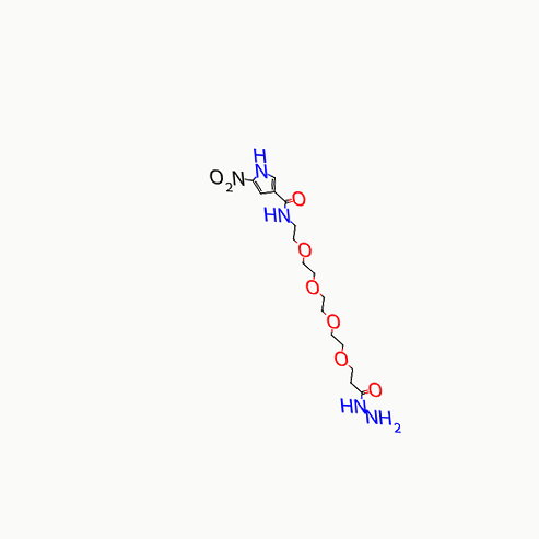 NNC(=O)CCOCCOCCOCCOCCNC(=O)c1c[nH]c([N+](=O)[O-])c1